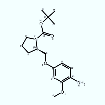 COc1nc(OC[C@H]2CCCN2C(=O)OC(C)(C)C)ccc1N